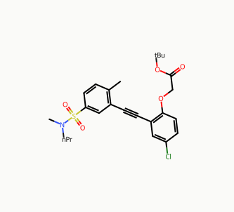 CCCN(C)S(=O)(=O)c1ccc(C)c(C#Cc2cc(Cl)ccc2OCC(=O)OC(C)(C)C)c1